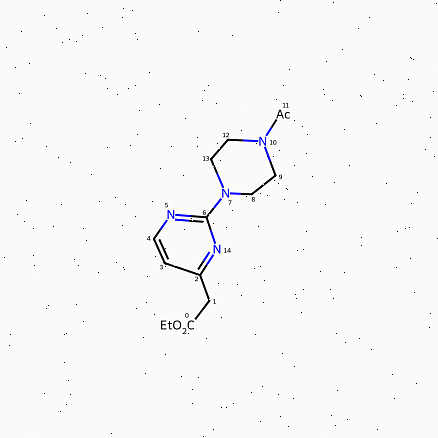 CCOC(=O)Cc1ccnc(N2CCN(C(C)=O)CC2)n1